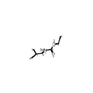 CCOC(=O)NCC(C)C